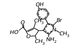 CC1=C(C(=O)O)OC(C)C1c1c(-c2ccc(O)cc2)c(Br)n(C)c1N